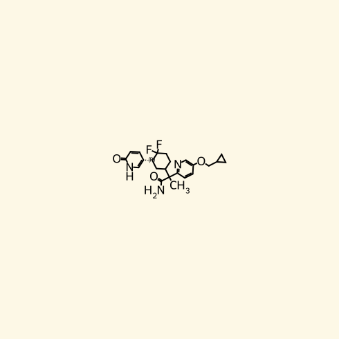 CC(C(N)=O)(c1ccc(OCC2CC2)cn1)C1CCC(F)(F)[C@@H](c2ccc(=O)[nH]c2)C1